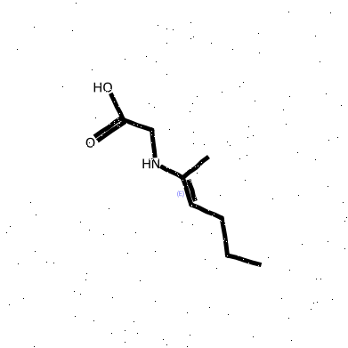 CCC/C=C(\C)NCC(=O)O